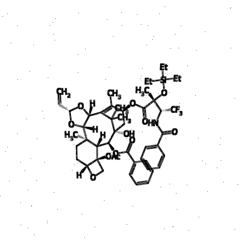 C=C[C@@H]1O[C@@H]2C3=C(C)[C@@H](OC(=O)[C@](C)(O[Si](CC)(CC)CC)[C@@H](NC(=O)c4ccccc4)C(F)(F)F)C[C@@](O)([C@@H](OC(=O)c4ccccc4)[C@H]4[C@@](C)(CC[C@H]5OC[C@]54OC(C)=O)[C@@H]2O1)C3(C)C